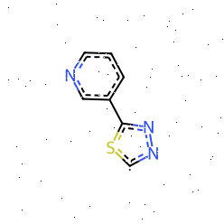 [c]1nnc(-c2cccnc2)s1